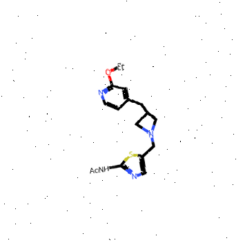 CCOc1cc(CC2CN(Cc3cnc(NC(C)=O)s3)C2)ccn1